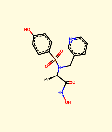 CC(C)[C@H](C(=O)NO)N(Cc1cccnc1)S(=O)(=O)c1ccc(O)cc1